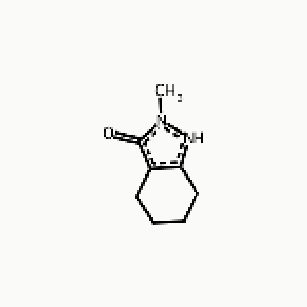 Cn1[nH]c2c(c1=O)CCCC2